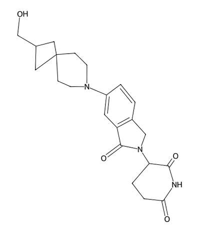 O=C1CCC(N2Cc3ccc(N4CCC5(CC4)CC(CO)C5)cc3C2=O)C(=O)N1